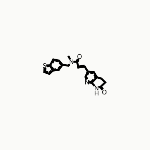 CN(Cc1ccc2sccc2c1)C(=O)/C=C/c1cnc2c(c1)CCC(=O)N2